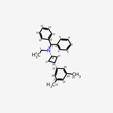 CCN(C(c1ccccc1)c1ccccc1)[C@H]1C[C@@H](c2cc(C)cc(C)c2)C1